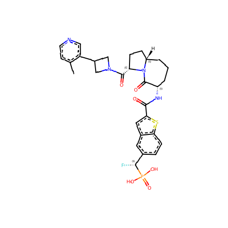 Cc1ccncc1C1CN(C(=O)[C@@H]2CC[C@@H]3CCC[C@H](NC(=O)c4cc5cc([C@@H](F)P(=O)(O)O)ccc5s4)C(=O)N32)C1